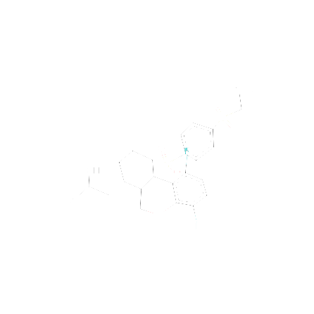 CCS(=O)(=O)c1ccc(S(=O)(=O)[C@@]23CCC[C@@H](CC(C)C)[C@@H]2COc2c(F)ccc(F)c23)cc1